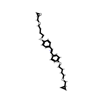 C(=C\c1ccc(OCCCCOCC2CO2)cc1)/c1ccc(OCCCCOCC2CC2)cc1